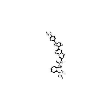 Cc1ccc(-n2cnc(-c3cnc4cc(NC(=S)Nc5ccccc5C(C)C)ccc4c3)n2)cc1